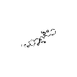 COC1CCC(C[C@@H](CC[C@H](CC2CCCCC2)C(=O)O)C(=O)O)CC1